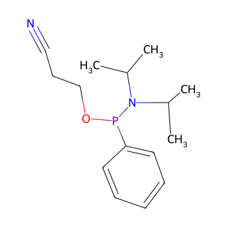 CC(C)N(C(C)C)P(OCCC#N)c1ccccc1